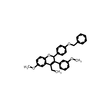 CCC1=C(c2cccc(OC)c2)C(c2ccc(OCc3ccccc3)cc2)Oc2ccc(OC)cc21